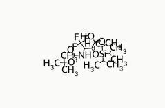 CC(C)[Si](O[C@@H](C(=O)O)[C@@H](NC(=O)OC(C)(C)C)C(F)(F)F)(C(C)C)C(C)C